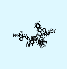 CCCC(NC(=O)[C@@H]1[C@@H]2[C@H](CN1C(=O)[C@@H](NC(=O)OC(C)(C)C)C1Cc3ccccc3C1)C2(C)C)C(=O)C(=O)NCCC(=O)N(C)C(C)(C)C